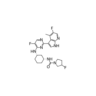 Cc1c(F)cnc2[nH]cc(-c3ncc(F)c(N[C@H]4CCC[C@@H](NC(=O)N5CCC(F)C5)C4)n3)c12